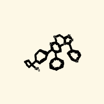 NC1(C2C=CC(c3nc4c(cc3-c3ccccc3)-n3c(nnc3-c3ccncc3)CO4)=CC2)CCC1